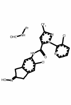 CC(C)NC=O.O=C(Nc1cc2c(cc1Cl)CC(=NO)C2)c1cc(C(F)(F)F)nn1-c1ncccc1Cl